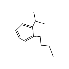 CCCCc1ccccc1[C](C)C